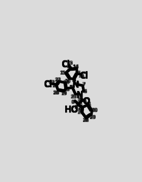 CC(O)(C(=O)N1CCN(c2ccc(Cl)cc2Cl)C(c2ccc(Cl)cc2)C1)c1ccccc1